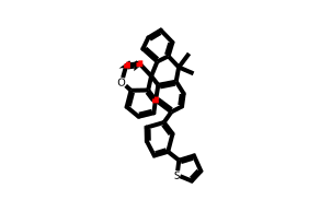 CC1(C)c2ccccc2C2(c3ccccc3Oc3ccccc32)c2cc(-c3cccc(-c4cccs4)c3)ccc21